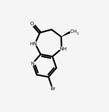 C[C@@H]1CC(=O)Nc2ncc(Br)cc2N1